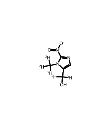 [2H]C([2H])(O)c1cnc([N+](=O)[O-])n1C([2H])([2H])[2H]